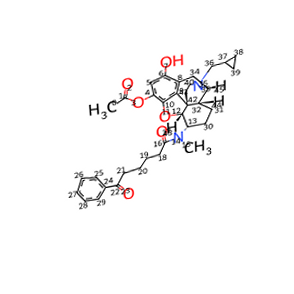 CC(=O)Oc1cc(O)c2c3c1O[C@H]1[C@@H](N(C)C(=O)CCCCC(=O)c4ccccc4)CC[C@H]4[C@@H](C2)N(CC2CC2)CC[C@@]341